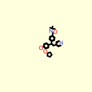 COc1ccc(C(=Cc2ccncc2)c2ccc(C3=NC(C)(C)CO3)cc2)cc1OC1CCCC1